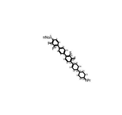 CCCCCCCCCc1ccc(-c2ccc(-c3ccc(C4=CCC(C5CCC(CCC)CC5)CC4)c(F)c3F)cc2)c(F)c1F